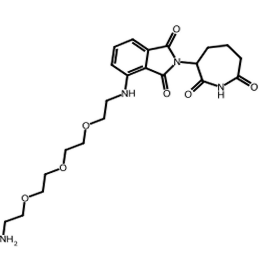 NCCOCCOCCOCCNc1cccc2c1C(=O)N(C1CCCC(=O)NC1=O)C2=O